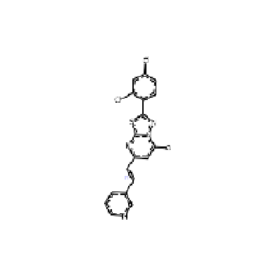 O=c1cc(/C=C/c2cccnc2)nc2sc(-c3ccc(Cl)cc3Cl)nn12